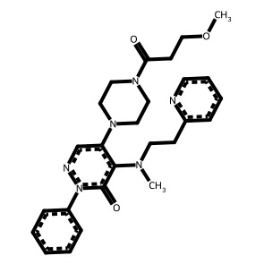 COCCC(=O)N1CCN(c2cnn(-c3ccccc3)c(=O)c2N(C)CCc2ccccn2)CC1